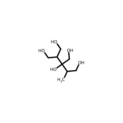 CC(CO)C(O)(CO)C(CO)CO